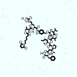 CC[C@H](C)[C@@H]([C@@H](CC(=O)N1CCC[C@H]1[C@H](OC)[C@@H](C)C(=O)N[C@@H](Cc1ccccc1)C(=O)O)OC)N(C)C(=O)[C@@H](NC(=O)[C@H](C(C)C)N(C)C(=O)OCc1ccc(NC(=O)[C@H](CCCNC(N)=O)NC(=O)[C@@H](NC(=O)CCCCCN2C(=O)C=CC2=O)C(C)C)cc1)C(C)C